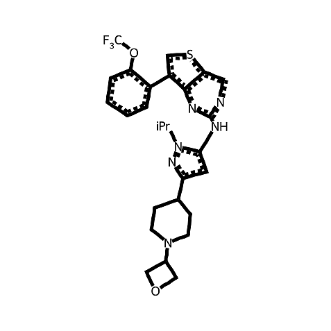 CC(C)n1nc(C2CCN(C3COC3)CC2)cc1Nc1ncc2scc(-c3ccccc3OC(F)(F)F)c2n1